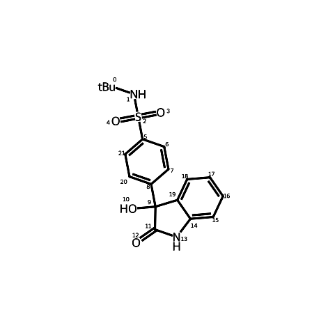 CC(C)(C)NS(=O)(=O)c1ccc(C2(O)C(=O)Nc3ccccc32)cc1